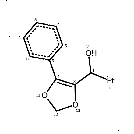 CCC(O)C1=C(c2ccccc2)OCO1